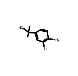 CCc1cc(C(C)(C)O)ccc1N